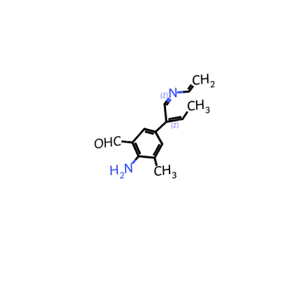 C=C/N=C\C(=C/C)c1cc(C)c(N)c(C=O)c1